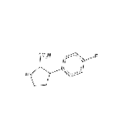 O=C(O)C1NCCC1c1ccc(F)cc1